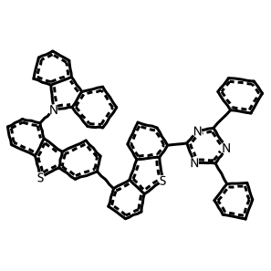 c1ccc(-c2nc(-c3ccccc3)nc(-c3cccc4c3sc3cccc(-c5ccc6c(c5)sc5cccc(-n7c8ccccc8c8ccccc87)c56)c34)n2)cc1